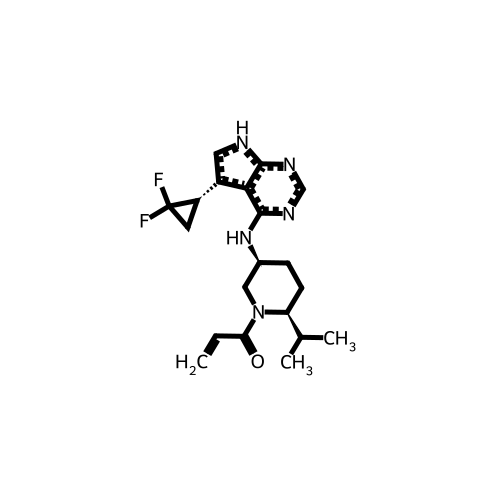 C=CC(=O)N1C[C@@H](Nc2ncnc3[nH]cc([C@@H]4CC4(F)F)c23)CC[C@H]1C(C)C